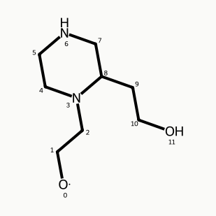 [O]CCN1CCNCC1CCO